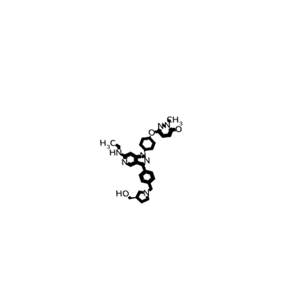 CCNc1cc2c(cn1)c(-c1ccc(CN3CC[C@@H](CO)C3)cc1)nn2[C@H]1CC[C@@H](Oc2ccc(=O)n(C)n2)CC1